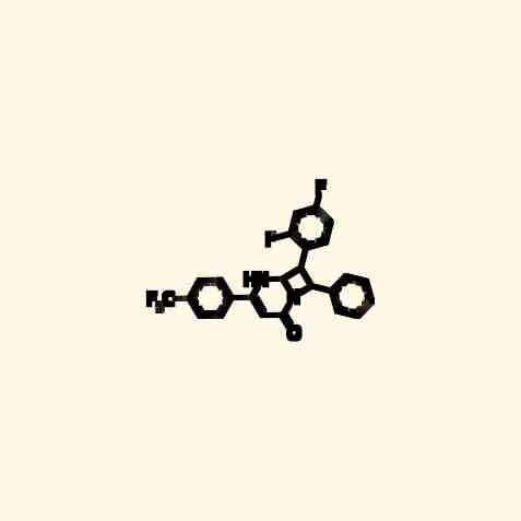 O=C1C=C(c2ccc(C(F)(F)F)cc2)NC2C(c3ccc(F)cc3F)C(c3ccccc3)N12